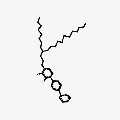 CCCCCCCCCCCCC(CCCCCCCC)CCCc1ccc(-c2ccc(-c3ccccc3)cc2)c(F)c1F